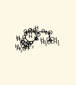 COC(C)(C)c1ncccc1-c1c2c3cc(ccc3n1CC(F)(F)F)-c1csc(n1)C[C@H](NC(=O)CCOC1CN(C(=O)C#CC(C)(C)N(C)C)C1)C(=O)N1CCC[C@H](N1)C(=O)OCC(C)(C)C2